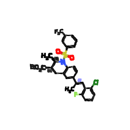 CCOC(=O)[C@@H]1Cc2cc(/C(C)=C/c3c(F)cccc3Cl)ccc2N(S(=O)(=O)c2cccc(C(F)(F)F)c2)[C@@H]1C